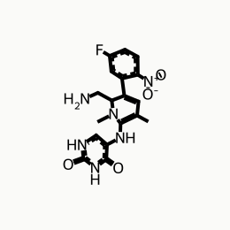 CC1=C(Nc2c[nH]c(=O)[nH]c2=O)N(C)C(CN)C(c2cc(F)ccc2[N+](=O)[O-])=C1